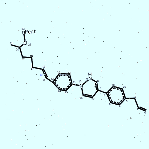 C=CCc1ccc(C2=CNN(c3ccc(/C=C/CCCC(C)OCCCCC)cc3)C=C2)cc1